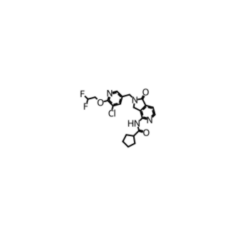 O=C(Nc1nccc2c1CN(Cc1cnc(OCC(F)F)c(Cl)c1)C2=O)C1CCCC1